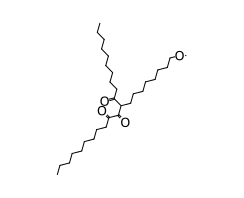 CCCCCCCCCC(=O)C(=O)C(CCCCCCCC[O])C(=O)CCCCCCCCC